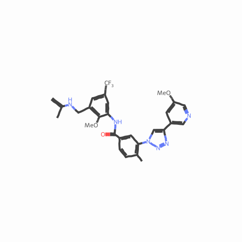 C=C(C)NCc1cc(C(F)(F)F)cc(NC(=O)c2ccc(C)c(-n3cc(-c4cncc(OC)c4)nn3)c2)c1OC